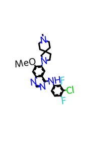 COc1cc2ncnc(Nc3ccc(F)c(Cl)c3F)c2cc1N1CCC2(CCN(C)CC2)C1